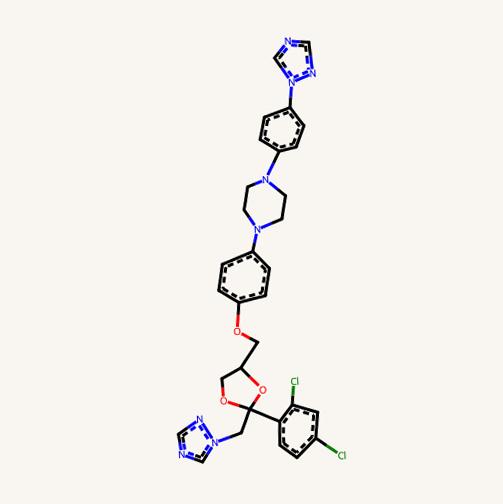 Clc1ccc(C2(Cn3cncn3)OCC(COc3ccc(N4CCN(c5ccc(-n6cncn6)cc5)CC4)cc3)O2)c(Cl)c1